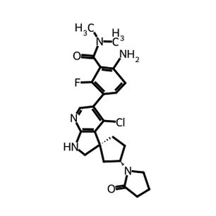 CN(C)C(=O)c1c(N)ccc(-c2cnc3c(c2Cl)[C@]2(CC[C@H](N4CCCC4=O)C2)CN3)c1F